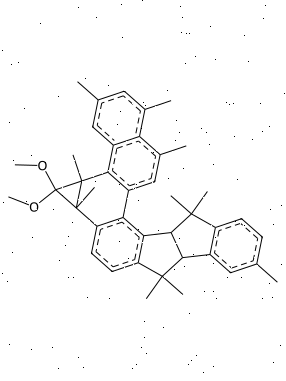 COC1(OC)C2(C)c3ccc4c(c3-c3cc(C)c5c(C)cc(C)cc5c3C12C)C1C(c2cc(C)ccc2C1(C)C)C4(C)C